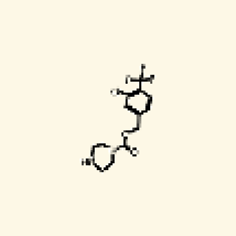 O=C(OCc1ccc(C(F)(F)F)c(Cl)c1)N1CCNCC1